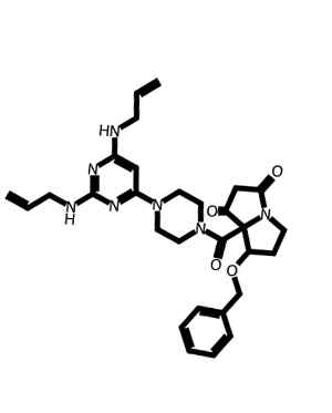 C=CCNc1cc(N2CCN(C(=O)C34C(=O)CC(=O)N3CCC4OCc3ccccc3)CC2)nc(NCC=C)n1